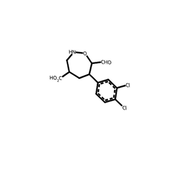 O=CC1ONCC(C(=O)O)CC1c1ccc(Cl)c(Cl)c1